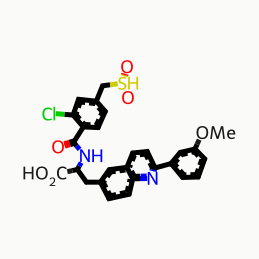 COc1cccc(-c2ccc3cc(CC(NC(=O)c4ccc(C[SH](=O)=O)cc4Cl)C(=O)O)ccc3n2)c1